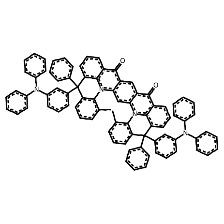 Cc1cccc2c1-n1c3cc4c(cc3c(=O)c3cccc(c31)C2(c1ccccc1)c1cccc(N(c2ccccc2)c2ccccc2)c1)c(=O)c1cccc2c1n4-c1c(C)cccc1C2(c1ccccc1)c1cccc(N(c2ccccc2)c2ccccc2)c1